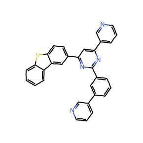 c1cncc(-c2cccc(-c3nc(-c4cccnc4)cc(-c4ccc5sc6ccccc6c5c4)n3)c2)c1